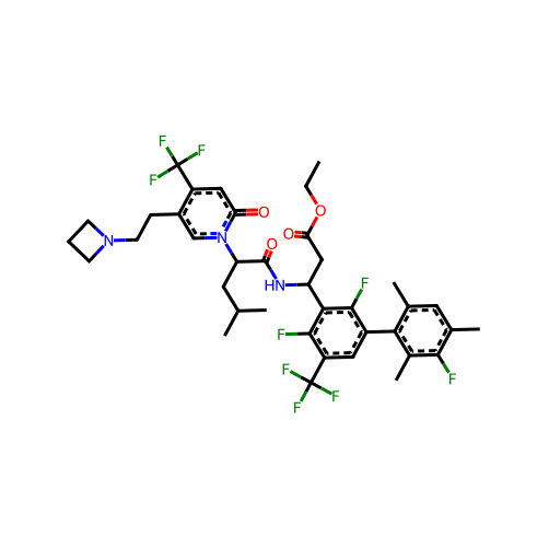 CCOC(=O)CC(NC(=O)C(CC(C)C)n1cc(CCN2CCC2)c(C(F)(F)F)cc1=O)c1c(F)c(-c2c(C)cc(C)c(F)c2C)cc(C(F)(F)F)c1F